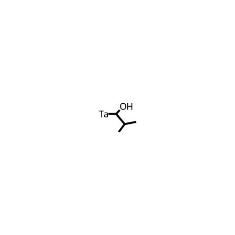 CC(C)[CH](O)[Ta]